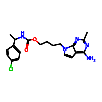 Cc1nc(N)c2ccn(CCCCOC(=O)NC(C)c3ccc(Cl)cc3)c2n1